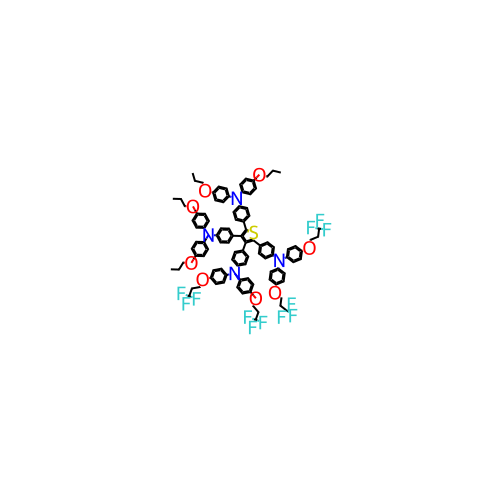 CCCOc1ccc(N(c2ccc(OCCC)cc2)c2ccc(-c3sc(-c4ccc(N(c5ccc(OCCC(F)(F)F)cc5)c5ccc(OCCC(F)(F)F)cc5)cc4)c(-c4ccc(N(c5ccc(OCCC(F)(F)F)cc5)c5ccc(OCCC(F)(F)F)cc5)cc4)c3-c3ccc(N(c4ccc(OCCC)cc4)c4ccc(OCCC)cc4)cc3)cc2)cc1